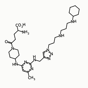 Cc1cc(NC2CCN(C(=O)CCC(N)C(=O)O)CC2)nc(NCc2cn(CCCNCCCNC3CCCCC3)nn2)n1